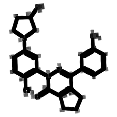 Cc1cccc(-c2nn(-c3cc(N4CCC(O)C4)ccc3C(F)(F)F)c(=O)c3c2CCC3)c1